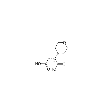 O=C(O)C[C@@H](C(=O)O)N1CCOCC1